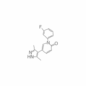 Cc1n[nH]c(C)c1-c1ccc(=O)n(-c2cccc(F)c2)c1